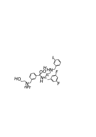 CCCN(CCO)Cc1cccc(C(=O)N[C@@H](Cc2cc(F)cc(F)c2)[C@H](O)CNCc2cccc(I)c2)c1